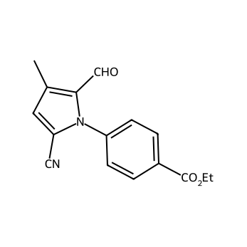 CCOC(=O)c1ccc(-n2c(C#N)cc(C)c2C=O)cc1